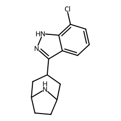 Clc1cccc2c(C3CC4CCC(C3)N4)n[nH]c12